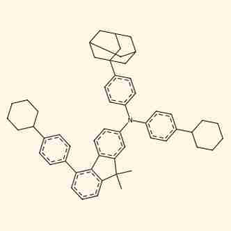 CC1(C)c2cc(N(c3ccc(C4CCCCC4)cc3)c3ccc(C45CC6CC(CC(C6)C4)C5)cc3)ccc2-c2c(-c3ccc(C4CCCCC4)cc3)cccc21